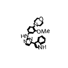 COc1cc(Nc2nccc(-c3c[nH]c4ccccc34)n2)ccc1N1CCOCC1